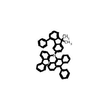 CC1(C)c2ccc(N(c3c4ccccc4c(-c4ccccc4)c4ccccc34)c3cccc4c3oc3ccccc34)cc2-c2c(-c3ccccc3)cccc21